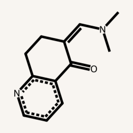 CN(C)C=C1CCc2ncccc2C1=O